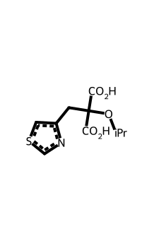 CC(C)OC(Cc1cscn1)(C(=O)O)C(=O)O